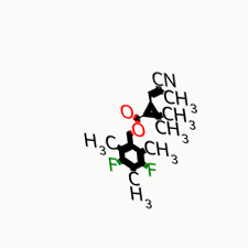 CC(C#N)=C[C@@H]1[C@@H](C(=O)OCc2c(C)c(F)c(C)c(F)c2C)C1(C)C